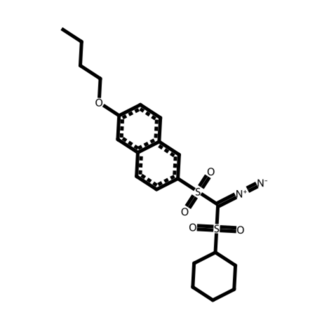 CCCCOc1ccc2cc(S(=O)(=O)C(=[N+]=[N-])S(=O)(=O)C3CCCCC3)ccc2c1